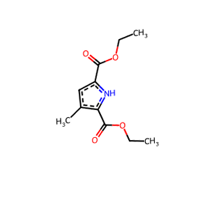 CCOC(=O)c1cc(C)c(C(=O)OCC)[nH]1